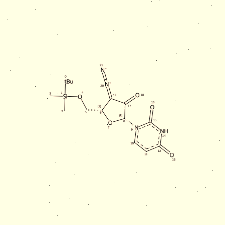 CC(C)(C)[Si](C)(C)OC[C@H]1O[C@@H](n2ccc(=O)[nH]c2=O)C(=O)C1=[N+]=[N-]